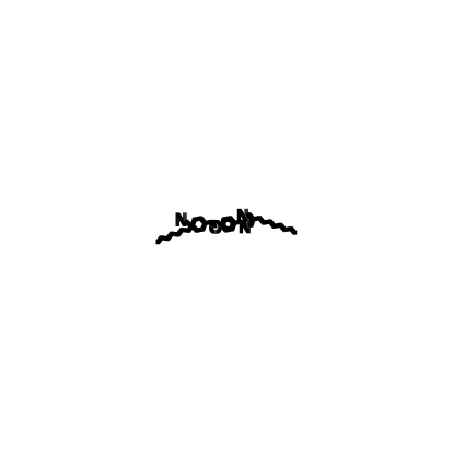 CCCCCCCCc1cnc(-c2ccc(OCC3CCC(C#N)(CCCCCCC)CC3)cc2)nc1